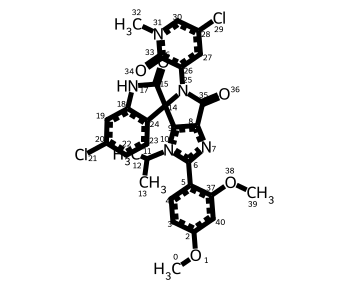 COc1ccc(-c2nc3c(n2C(C)C)C2(C(=O)Nc4cc(Cl)ccc42)N(c2cc(Cl)cn(C)c2=O)C3=O)c(OC)c1